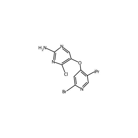 CC(C)c1cnc(Br)cc1Oc1cnc(N)nc1Cl